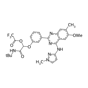 COc1cc2c(Nc3ccn(C)n3)nc(-c3cccc(OC(OC(=O)C(F)(F)F)C(=O)NC(C)(C)C)c3)nc2cc1C